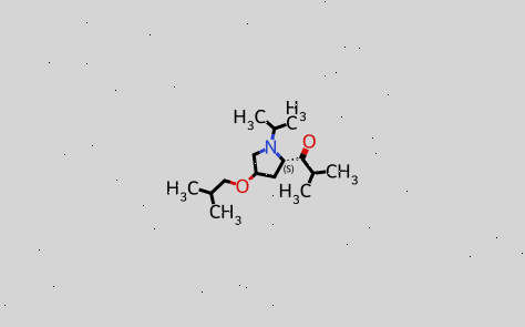 CC(C)COC1C[C@@H](C(=O)C(C)C)N(C(C)C)C1